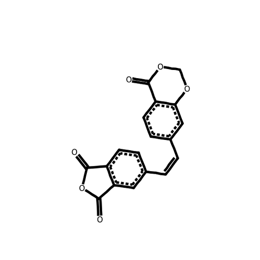 O=C1OCOc2cc(/C=C\c3ccc4c(c3)C(=O)OC4=O)ccc21